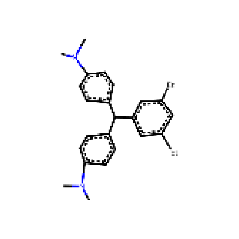 CCc1cc(CC)cc(C(c2ccc(N(C)C)cc2)c2ccc(N(C)C)cc2)c1